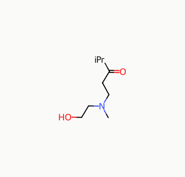 CC(C)C(=O)CCN(C)CCO